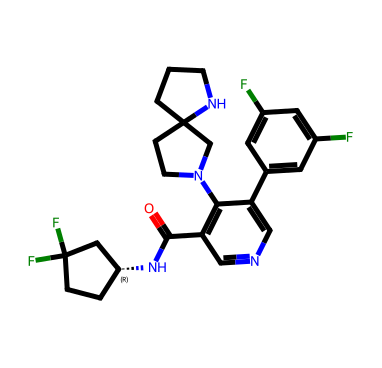 O=C(N[C@@H]1CCC(F)(F)C1)c1cncc(-c2cc(F)cc(F)c2)c1N1CCC2(CCCN2)C1